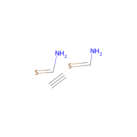 C#C.NC=S.NC=S